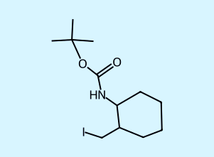 CC(C)(C)OC(=O)NC1CCCCC1CI